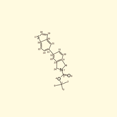 CC(C)(C)OC(=O)N1Cc2ccc(-c3ccc4sccc4c3)cc2C1